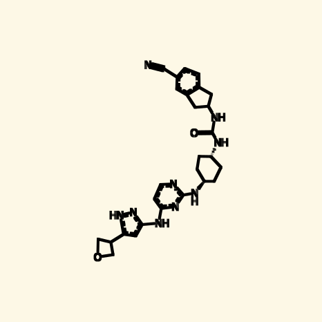 N#Cc1ccc2c(c1)CC(NC(=O)N[C@H]1CC[C@H](Nc3nccc(Nc4cc(C5COC5)[nH]n4)n3)CC1)C2